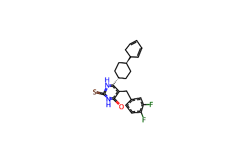 O=c1[nH]c(=S)[nH]c([C@H]2CC[C@H](C3C=CC=CC3)CC2)c1Cc1ccc(F)c(F)c1